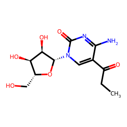 CCC(=O)c1cn([C@@H]2O[C@H](CO)[C@@H](O)[C@H]2O)c(=O)nc1N